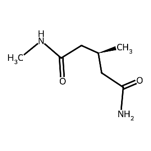 CNC(=O)C[C@@H](C)CC(N)=O